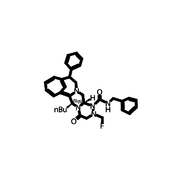 CCCC[C@H]1C2=C3C=CC=CC(=C3)C(c3ccccc3)CN2C[C@H]2N1C(=O)CN(CF)N2C(=O)NCc1ccccc1